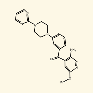 CC(C)Oc1cc(C(=N)c2ccnc(N3CCN(c4ncccn4)CC3)c2)c(N)cn1